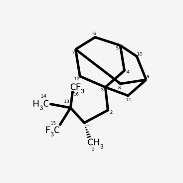 C[C@@H](CC12CC3CC(CC(C3)C1)C2)C(C)(C(F)(F)F)C(F)(F)F